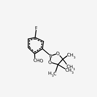 CC1(C)OB(c2cc(F)ccc2C=O)OC1(C)C